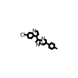 Cc1ccc(-c2cnc3c(-c4ccnc5cc(Cl)ccc45)cnn3c2)cc1